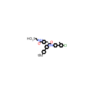 Cc1cc(Cl)ccc1-c1ccc(NC(=O)[C@@H](Cc2ccc(C(=O)NCCS(=O)(=O)O)cc2)c2ccc(C3=CCC(C(C)(C)C)CC3)cc2)cc1